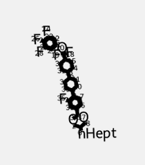 CCCCCCCC1COC(c2ccc(C3CCC(C4CCC(C(F)(F)Oc5cc(F)c(F)c(F)c5)CC4)CC3)c(F)c2)OC1